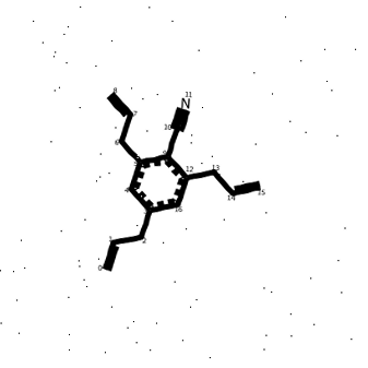 C=CCc1cc(CC=C)c(C#N)c(CC=C)c1